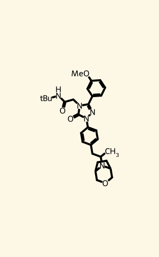 COc1cccc(-c2nn(-c3ccc(CC(C)N4C5CCC4COC5)cc3)c(=O)n2CC(=O)NC(C)(C)C)c1